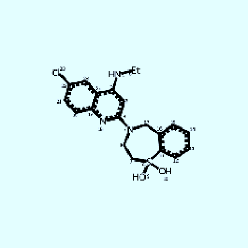 CCNc1cc(N2CCS(O)(O)c3ccccc3C2)nc2ccc(Cl)cc12